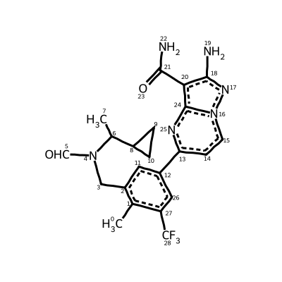 Cc1c(CN(C=O)C(C)C2CC2)cc(-c2ccn3nc(N)c(C(N)=O)c3n2)cc1C(F)(F)F